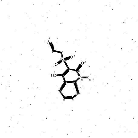 C=CCS(=O)(=O)c1c(O)c2ccccc2n(C)c1=O